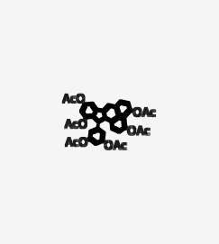 CC(=O)Oc1ccc(/C=C2/c3cc(OC(C)=O)cc(OC(C)=O)c3[C@H](c3cc(OC(C)=O)cc(OC(C)=O)c3)C2c2ccc(OC(C)=O)cc2)cc1